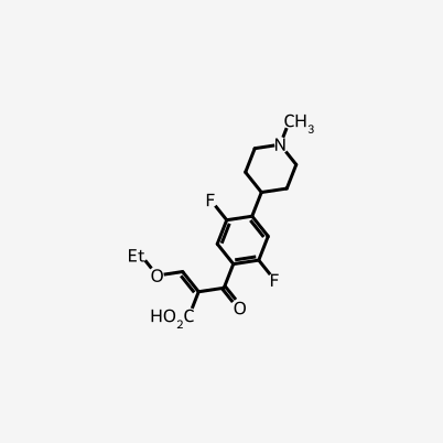 CCOC=C(C(=O)O)C(=O)c1cc(F)c(C2CCN(C)CC2)cc1F